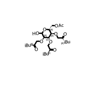 CC[C@@H](C)C(=O)CO[C@H]1[C@H](OCC(=O)[C@H](C)CC)[C@@H](OCC(=O)[C@H](C)CC)C(O)O[C@@H]1COC(C)=O